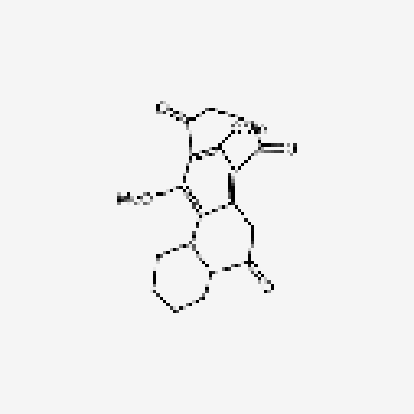 COc1c2c3c(c(OC)c1C(=O)CCC2=O)C1CCCCC1C(=O)C3